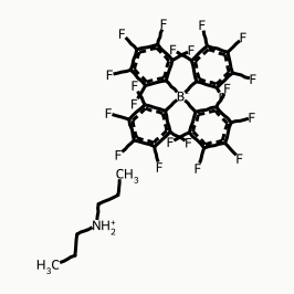 CCC[NH2+]CCC.Fc1c(F)c(F)c([B-](c2c(F)c(F)c(F)c(F)c2F)(c2c(F)c(F)c(F)c(F)c2F)c2c(F)c(F)c(F)c(F)c2F)c(F)c1F